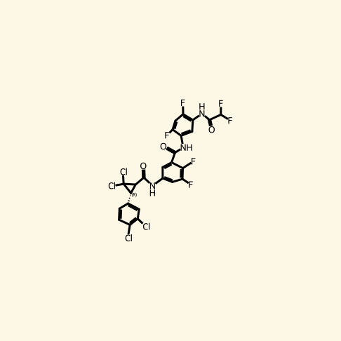 O=C(Nc1cc(NC(=O)C(F)F)c(F)cc1F)c1cc(NC(=O)C2[C@H](c3ccc(Cl)c(Cl)c3)C2(Cl)Cl)cc(F)c1F